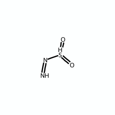 N=N[SH](=O)=O